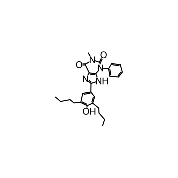 CCCCc1cc(-c2nc3c(=O)n(C)c(=O)n(-c4ccccc4)c3[nH]2)cc(CCCC)c1O